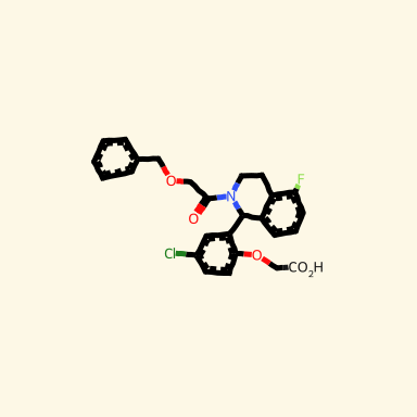 O=C(O)COc1ccc(Cl)cc1C1c2cccc(F)c2CCN1C(=O)COCc1ccccc1